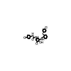 O=C(Nc1ccc(Cl)cc1)Nc1cc(Cl)c(O)c(NCc2ccccc2Sc2ccc(Cl)cc2)c1